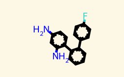 Nc1ccc(-c2ccccc2-c2ccc(F)cc2)c(N)c1